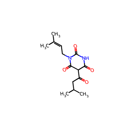 CC(C)=CCN1C(=O)NC(=O)C(C(=O)CC(C)C)C1=O